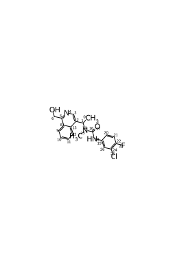 CC(c1cnc(CO)c2ccccc12)N(C)C(=O)Nc1ccc(F)c(Cl)c1